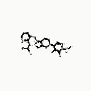 O=c1c(Cl)c(N2CCc3c(cnn3Cc3cccnc3CC(F)F)C2)cnn1PI